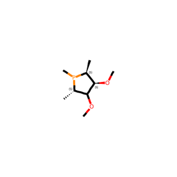 COC1[C@H](OC)[C@H](C)P(C)[C@H]1C